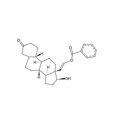 O=C1CC[C@H]2C(CC[C@@H]3[C@@H]2CC[C@]2(C=COC(=O)c4ccccc4)[C@@H](O)CC[C@@H]32)C1